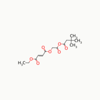 CCOC(=O)/C=C/C(=O)OCC(=O)OC(=O)CC(C)(C)C